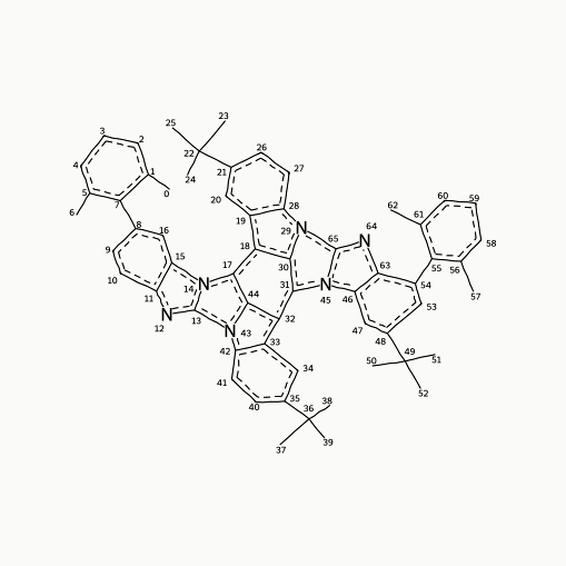 Cc1cccc(C)c1-c1ccc2nc3n(c2c1)c1c2c4cc(C(C)(C)C)ccc4n4c2c(c2c5cc(C(C)(C)C)ccc5n3c21)n1c2cc(C(C)(C)C)cc(-c3c(C)cccc3C)c2nc14